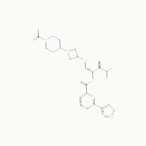 CCC(=O)N1CCC(N2CC(N/C=C(/NC(=O)c3cccc(-c4cc[nH]n4)n3)C(=N)C(F)F)C2)CC1